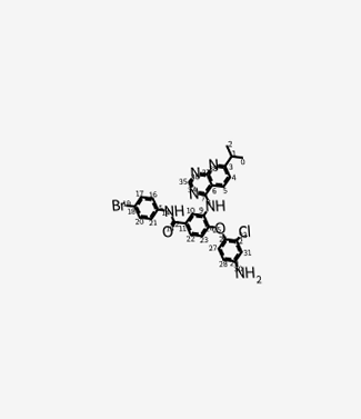 CC(C)c1ccc2c(Nc3cc(C(=O)Nc4ccc(Br)cc4)ccc3Oc3ccc(N)cc3Cl)ncnc2n1